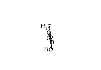 CCCCCCOc1ccc(OC(=O)c2ccc(OCCCCCCO)cc2)cc1